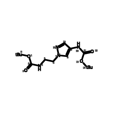 CC(C)(C)OC(=O)NCCn1cc(NC(=O)OC(C)(C)C)cn1